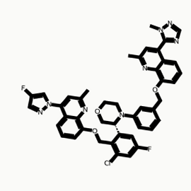 Cc1cc(-c2ncnn2C)c2cccc(OCc3[c]ccc(N4CCOC[C@H]4c4cc(F)cc(Cl)c4COc4cccc5c(-n6cc(F)cn6)cc(C)nc45)c3)c2n1